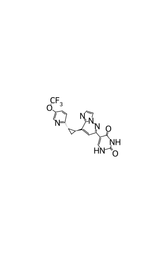 O=c1[nH]cc(-c2cc([C@H]3C[C@@H]3c3ccc(OC(F)(F)F)cn3)c3nccn3n2)c(=O)[nH]1